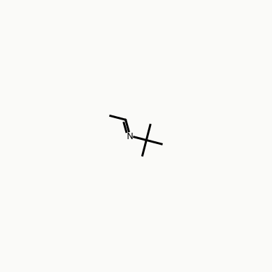 CC=NC(C)(C)C